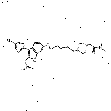 CC(=O)N(C)Cc1oc2cc(OCCCCCN3CCN(CC(=O)N(C)C)CC3)ccc2c1-c1ccc(Cl)cc1